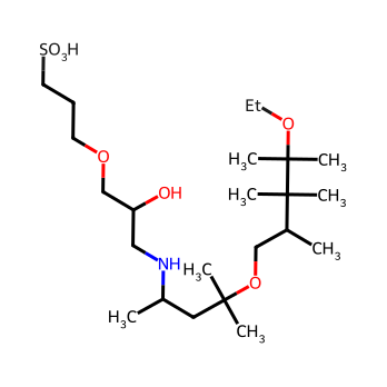 CCOC(C)(C)C(C)(C)C(C)COC(C)(C)CC(C)NCC(O)COCCCS(=O)(=O)O